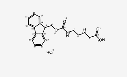 Cl.O=C(O)CNCCNC(=O)OCC1c2ccccc2-c2ccccc21